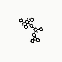 c1ccc(-c2nc(-c3ccc(-c4c5c(cc6c(-c7ccccc7)nc7ccccc7c46)oc4ccccc45)cc3)nc(-c3ccc4c5ccccc5c5ccccc5c4c3)n2)cc1